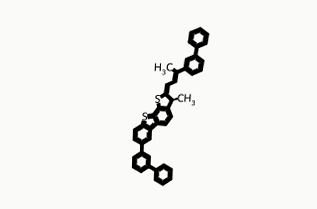 C/C(=C\C=C1\Sc2c(ccc3c2sc2ccc(-c4cccc(-c5ccccc5)c4)cc23)[C@@H]1C)c1cccc(-c2ccccc2)c1